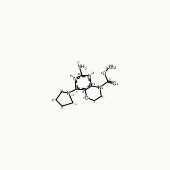 CC(C)(C)OC(=O)N1CCOc2c(N3CCCC3)nc(N)nc21